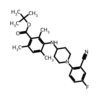 Cc1cc(C)c(C(=O)OC(C)(C)C)c(C)c1NC1CCN(c2ccc(F)cc2C#N)CC1